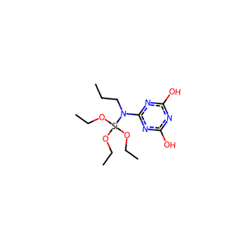 CCCN(c1nc(O)nc(O)n1)[Si](OCC)(OCC)OCC